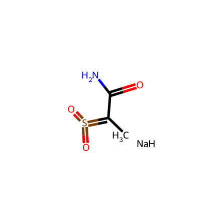 CC(C(N)=O)=S(=O)=O.[NaH]